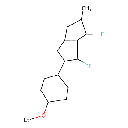 CCOC1CCC(C2CC3CC(C)C(F)C3C2F)CC1